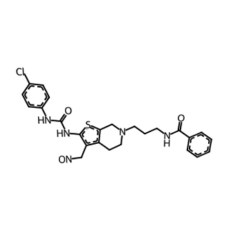 O=NCc1c(NC(=O)Nc2ccc(Cl)cc2)sc2c1CCN(CCCNC(=O)c1ccccc1)C2